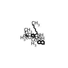 CCCCCCCC(NC(=O)Nc1c(OCC)ccc2ccccc12)c1ccc(OC(C)(C)C(=O)OCC)cc1